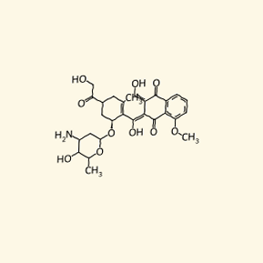 COc1cccc2c1C(=O)C(=C(\O)C1=C(C)CC(C(=O)CO)C[C@@H]1OC1CC(N)C(O)C(C)O1)/C(=C/O)C2=O